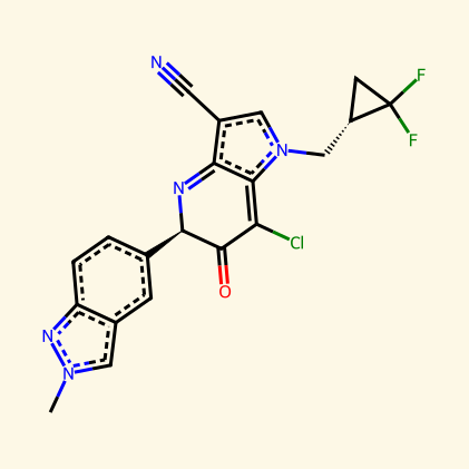 Cn1cc2cc([C@H]3N=c4c(C#N)cn(C[C@@H]5CC5(F)F)c4=C(Cl)C3=O)ccc2n1